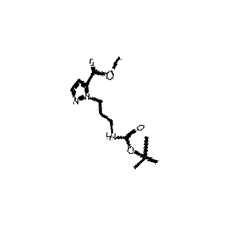 COC(=O)c1ccnn1CCCNC(=O)OC(C)(C)C